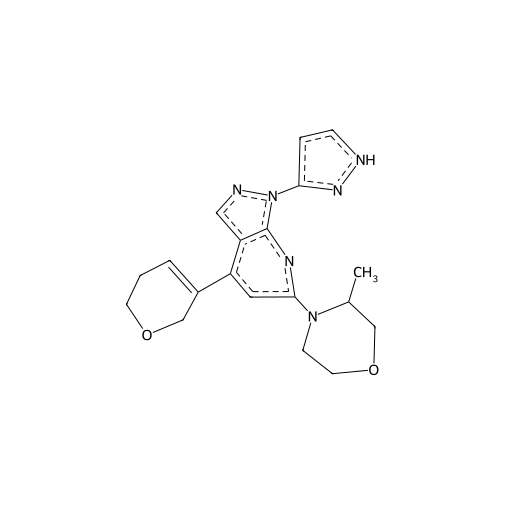 CC1COCCN1c1cc(C2=CCCOC2)c2cnn(-c3cc[nH]n3)c2n1